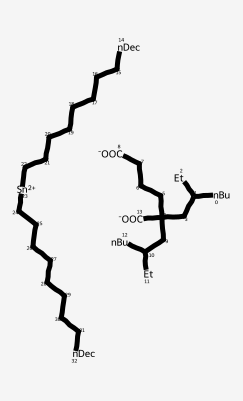 CCCCC(CC)CC(CCCC(=O)[O-])(CC(CC)CCCC)C(=O)[O-].CCCCCCCCCCCCCCCCC[CH2][Sn+2][CH2]CCCCCCCCCCCCCCCCC